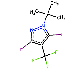 CC(C)(C)n1nc(I)c(C(F)(F)F)c1I